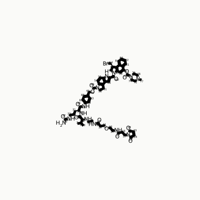 CC(C)[C@H](NCCNC(=O)CCOCCNC(=O)CCN1C(=O)C=CC1=O)C(=O)N[C@@H](CCCNC(N)=O)C(=O)Nc1ccc(COC(=O)N2CCc3c2ccc2[nH]c(C(=O)N4C[C@@H](CBr)c5c4cc(OC(=O)N4CCN(C)CC4)c4ccccc54)cc32)cc1